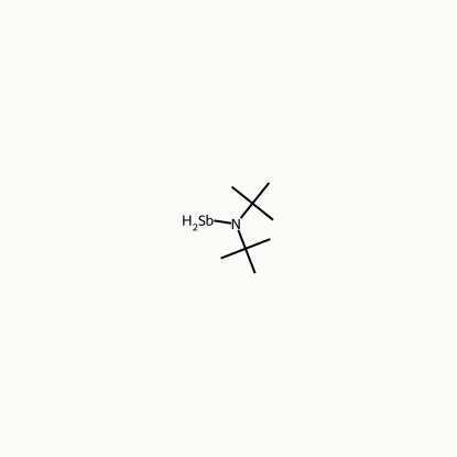 CC(C)(C)[N]([SbH2])C(C)(C)C